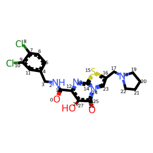 O=C(NCc1ccc(Cl)c(Cl)c1)c1nc2sc(CN3CCCC3)cn2c(=O)c1O